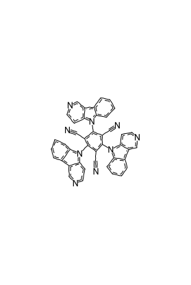 N#Cc1c(-n2c3ccccc3c3cnccc32)c(C#N)c(-n2c3ccccc3c3cnccc32)c(C#N)c1-n1c2ccccc2c2cnccc21